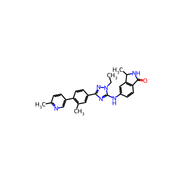 CCn1nc(-c2ccc(-c3ccc(C)nc3)c(C)c2)nc1Nc1ccc2c(c1)C(C)NC2=O